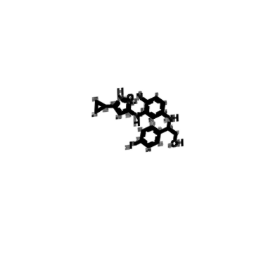 O=[N+]([O-])c1ccc(NC(CO)c2ccc(F)cc2)cc1Nc1cc(C2CC2)[nH]n1